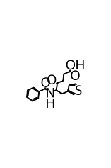 O=C(O)CCC(=O)C(Cc1ccsc1)NC(=O)c1ccccc1